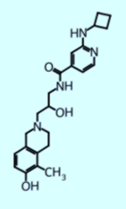 Cc1c(O)ccc2c1CCN(CC(O)CNC(=O)c1ccnc(NC3CCC3)c1)C2